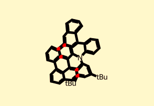 CC(C)(C)c1cc(N(c2ccccc2-c2cccc3ccccc23)c2ccccc2-c2cccc3cccc(-c4ccccc4)c23)cc(C(C)(C)C)c1